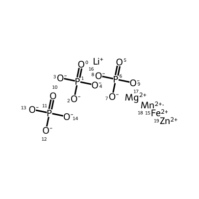 O=P([O-])([O-])[O-].O=P([O-])([O-])[O-].O=P([O-])([O-])[O-].[Fe+2].[Li+].[Mg+2].[Mn+2].[Zn+2]